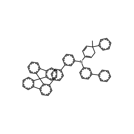 CC1(c2ccccc2)C=CC(N(c2cccc(-c3ccccc3)c2)c2cccc(-c3ccc(-c4cccc5c4C4(c6ccccc6-c6ccccc64)c4ccccc4-5)cc3)c2)=CC1